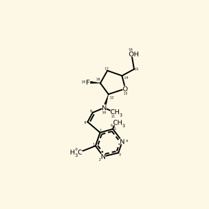 Cc1ncnc(C)c1/C=C\N(C)[C@@H]1OC(CO)C[C@@H]1F